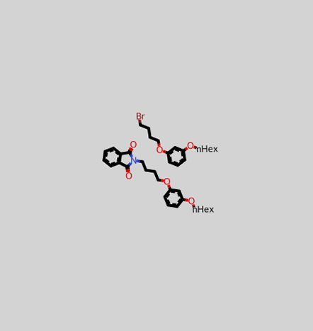 CCCCCCOc1cccc(OCCCCBr)c1.CCCCCCOc1cccc(OCCCCN2C(=O)c3ccccc3C2=O)c1